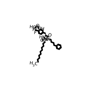 CCCCCCCCCCCCS(=O)(=O)N[C@@H](Cc1ccc(C(F)(F)P(=O)(O)O)cc1)C(=O)NCCCCc1ccccc1